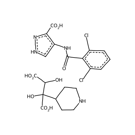 O=C(O)C(O)C(O)(C(=O)O)C1CCNCC1.O=C(O)c1n[nH]cc1NC(=O)c1c(Cl)cccc1Cl